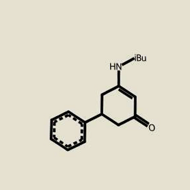 CCC(C)NC1=CC(=O)CC(c2ccccc2)C1